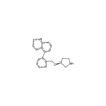 c1ccc(-c2cccc3ncccc23)c(CO[C@H]2CCNC2)c1